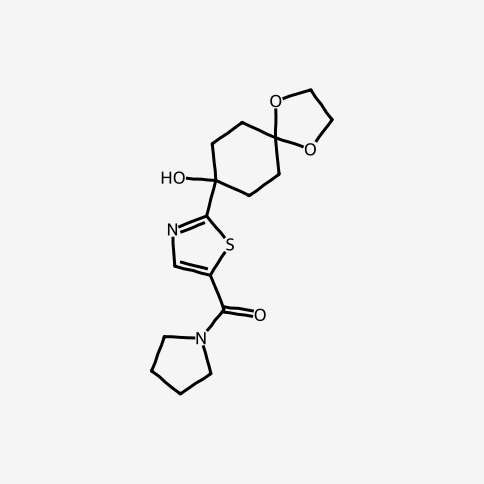 O=C(c1cnc(C2(O)CCC3(CC2)OCCO3)s1)N1CCCC1